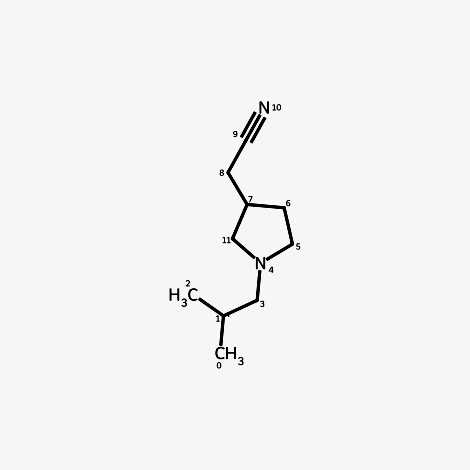 C[C](C)CN1CCC(CC#N)C1